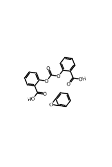 O=C(Oc1ccccc1C(=O)O)Oc1ccccc1C(=O)O.c1ccc2c(c1)O2